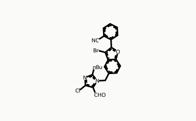 CCCCc1nc(Cl)c(C=O)n1Cc1ccc2oc(-c3ccccc3C#N)c(Br)c2c1